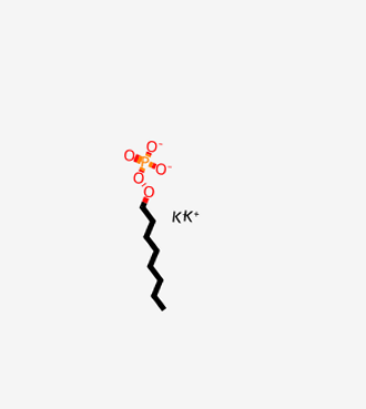 CCCCCCCCOOP(=O)([O-])[O-].[K+].[K+]